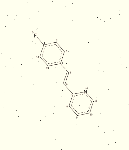 Fc1ccc(C=Cc2ccccn2)cc1